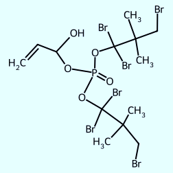 C=CC(O)OP(=O)(OC(Br)(Br)C(C)(C)CBr)OC(Br)(Br)C(C)(C)CBr